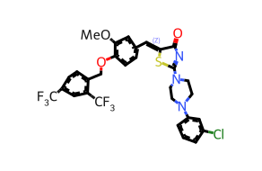 COc1cc(/C=C2\SC(N3CCN(c4cccc(Cl)c4)CC3)=NC2=O)ccc1OCc1ccc(C(F)(F)F)cc1C(F)(F)F